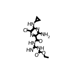 CCOC(=O)NC(=N)NC(=O)c1nc(Cl)c(NC2CC2)nc1N